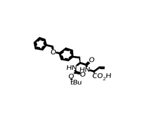 C=C[C@H](NC(=O)[C@H](Cc1ccc(OCc2ccccc2)cc1)NC(=O)OC(C)(C)C)C(=O)O